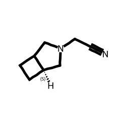 N#CCN1CC2CC[C@@H]2C1